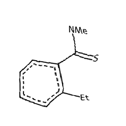 CCc1ccccc1C(=S)NC